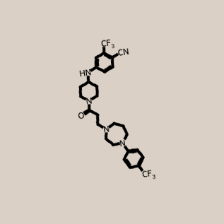 N#Cc1ccc(NC2CCN(C(=O)CCN3CCCN(c4ccc(C(F)(F)F)cc4)CC3)CC2)cc1C(F)(F)F